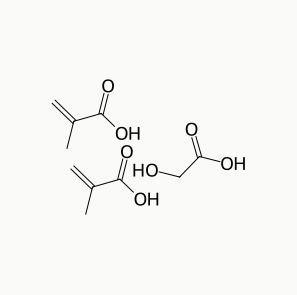 C=C(C)C(=O)O.C=C(C)C(=O)O.O=C(O)CO